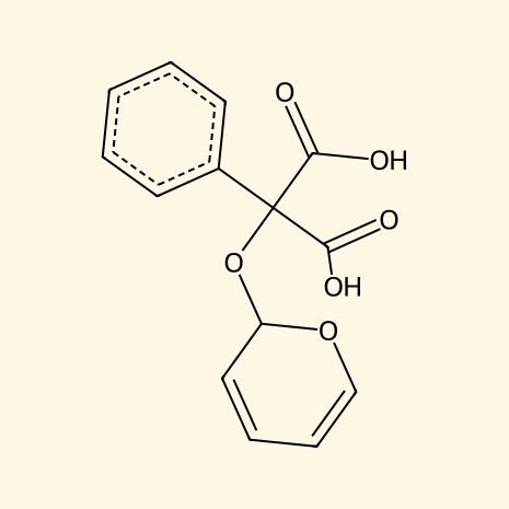 O=C(O)C(OC1C=CC=CO1)(C(=O)O)c1ccccc1